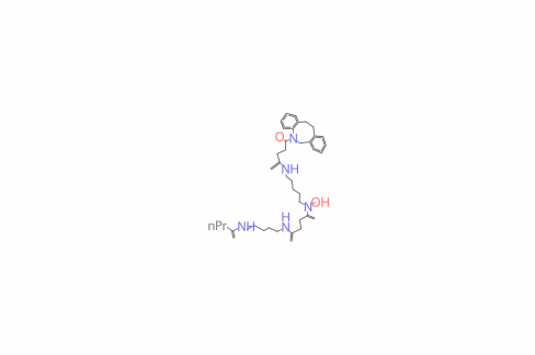 C=C(CCC)NCCCCCNC(=C)CCC(=C)N(O)CCCCCNC(=C)CCC(=O)N1Cc2ccccc2CCc2ccccc21